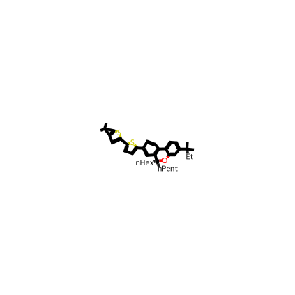 CCCCCCC1(CCCCC)Oc2cc(C(C)(C)CC)ccc2-c2ccc(-c3ccc(-c4cc5c(s4)C5(C)C)s3)cc21